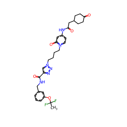 CC(F)(F)Oc1cccc(CNC(=O)c2cn(CCCCn3ccc(NC(=O)CC4CCC(=O)CC4)cc3=O)nn2)c1